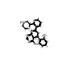 Nc1ncnc2nc(-c3cccnc3C3CNCCO3)cc(-c3ccccc3Br)c12